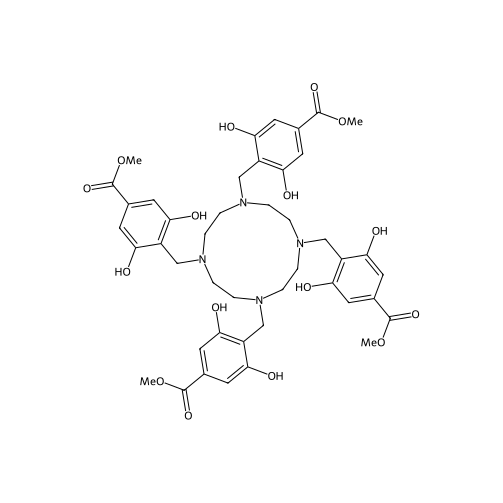 COC(=O)c1cc(O)c(CN2CCN(Cc3c(O)cc(C(=O)OC)cc3O)CCN(Cc3c(O)cc(C(=O)OC)cc3O)CCN(Cc3c(O)cc(C(=O)OC)cc3O)CC2)c(O)c1